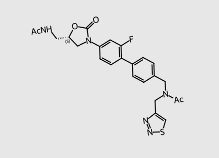 CC(=O)NC[C@H]1CN(c2ccc(-c3ccc(CN(Cc4csnn4)C(C)=O)cc3)c(F)c2)C(=O)O1